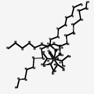 CCCCCCCCP(CCCCCCCC)[O][Ti](=[O])([O]P(CCCCCCCC)CCCCCCCC)([CH](C)C)([CH](C)C)([CH](C)C)[CH](C)C